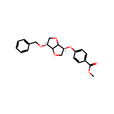 COC(=O)c1ccc(O[C@H]2COC3C2OC[C@@H]3OCc2ccccc2)cc1